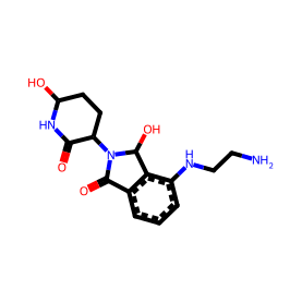 NCCNc1cccc2c1C(O)N(C1CCC(O)NC1=O)C2=O